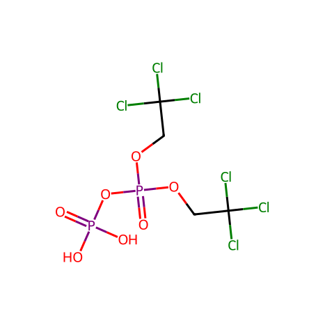 O=P(O)(O)OP(=O)(OCC(Cl)(Cl)Cl)OCC(Cl)(Cl)Cl